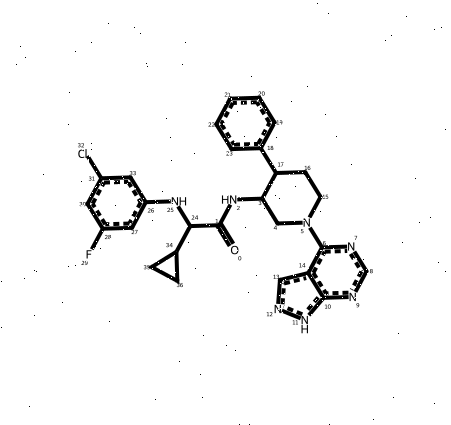 O=C(NC1CN(c2ncnc3[nH]ncc23)CCC1c1ccccc1)C(Nc1cc(F)cc(Cl)c1)C1CC1